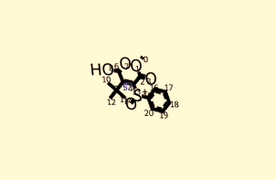 COC(=O)/C(=C(\C(=O)O)C(C)(C)C)[S+]([O-])c1ccccc1